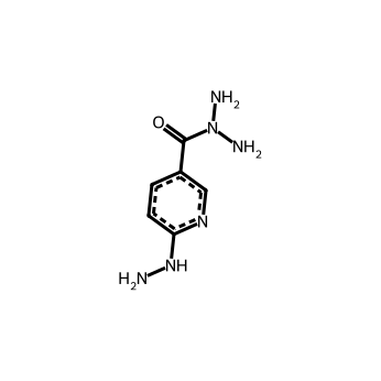 NNc1ccc(C(=O)N(N)N)cn1